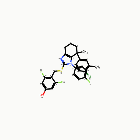 Cc1cc(C2(C)CCCc3nc(SCc4c(F)cc(O)cc4F)n(-c4ccc(F)cc4)c32)ccc1Cl